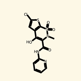 CN1C(C(=O)Nc2ccccn2)=C(O)c2cc(Cl)sc2S1(=O)=O